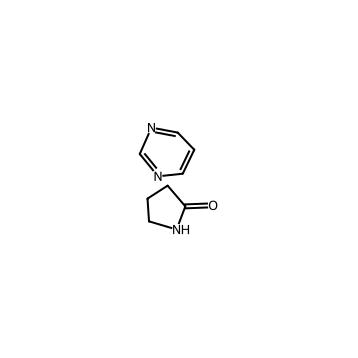 O=C1CCCN1.c1cncnc1